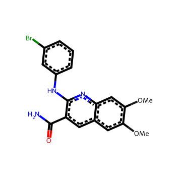 COc1cc2cc(C(N)=O)c(Nc3cccc(Br)c3)nc2cc1OC